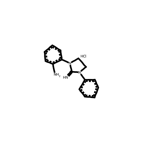 Cl.N=C1N(c2ccccc2)CCN1c1ccccc1N